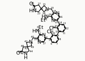 CCNc1nc(-c2cccc(-c3cccc(-c4cnc(CN5CC6(CNC(=O)C6)C5)c(NCC)n4)c3Cl)c2Cl)cnc1CN1CC2(CNC(=O)C2)C1